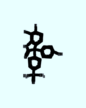 CP(C)(=O)c1ccc(C2(c3ccc(O)cc3)C(=O)Nc3c2ccc(F)c3F)cc1